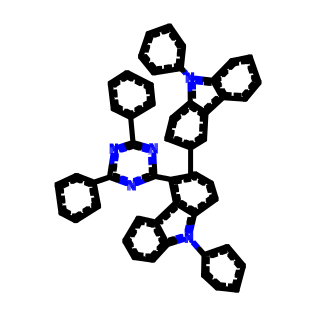 c1ccc(-c2nc(-c3ccccc3)nc(-c3c(-c4ccc5c(c4)c4ccccc4n5-c4ccccc4)ccc4c3c3ccccc3n4-c3ccccc3)n2)cc1